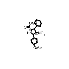 COC(=O)[C@H]1NC(c2ccc(OC)cc2)[C@H]([N+](=O)[O-])C1c1ccccc1